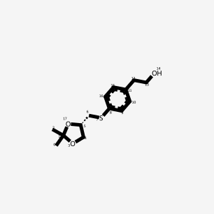 CC1(C)OC[C@@H](CSc2ccc(CCO)cc2)O1